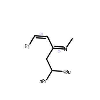 CC/C=C\C(CC(CCC)CCCC)=N/C